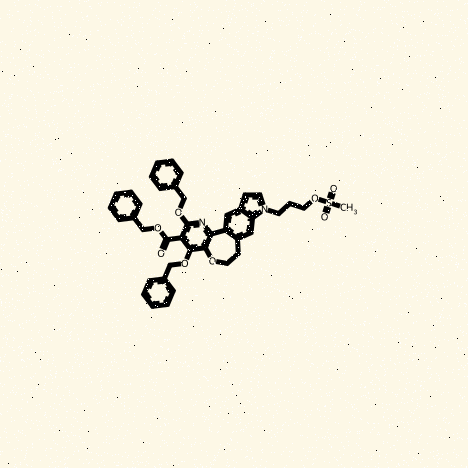 CS(=O)(=O)OCCCn1ccc2cc3c(cc21)CCOc1c-3nc(OCc2ccccc2)c(C(=O)OCc2ccccc2)c1OCc1ccccc1